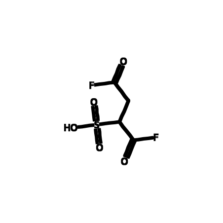 O=C(F)CC(C(=O)F)S(=O)(=O)O